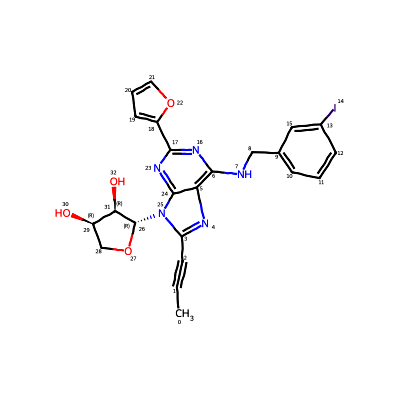 CC#Cc1nc2c(NCc3cccc(I)c3)nc(-c3ccco3)nc2n1[C@@H]1OC[C@@H](O)[C@H]1O